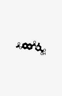 CC(=O)Oc1ccc2cc(C(=O)N3CCC(C(=O)O)CC3C)ccc2c1